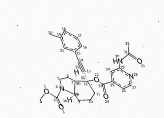 COC(=O)N1CC[C@@H]2[C@H]1CCC[C@]2(C#Cc1cccc(C)c1)OC(=O)c1ccnc(NC(C)=O)c1